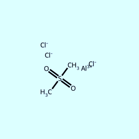 CS(C)(=O)=O.[Al+3].[Cl-].[Cl-].[Cl-]